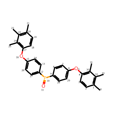 Cc1ccc(Oc2ccc([P](=O)c3ccc(Oc4ccc(C)c(C)c4C)cc3)cc2)c(C)c1C